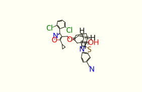 N#Cc1ccc2nc([C@]3(O)[C@@H]4C[C@@H]5C[C@H]3C[C@@](OCc3c(-c6c(Cl)cccc6Cl)noc3C3CC3)(C5)C4)sc2c1